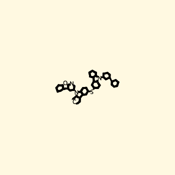 c1ccc(-c2cccc(-n3c4ccccc4c4cc(Sc5ccc6c(c5)c5ccccc5n6-c5cnc6oc7ccccc7c6c5)ccc43)c2)cc1